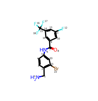 NCc1ccc(NC(=O)c2cc(F)cc(C(F)(F)F)c2)cc1Br